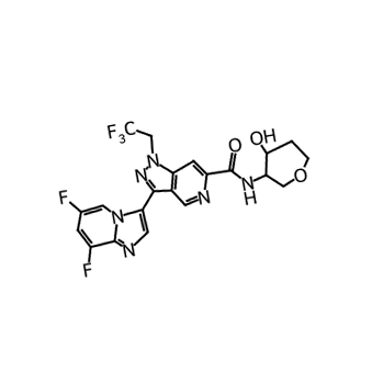 O=C(NC1COCCC1O)c1cc2c(cn1)c(-c1cnc3c(F)cc(F)cn13)nn2CC(F)(F)F